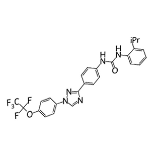 CC(C)c1ccccc1NC(=O)Nc1ccc(-c2ncn(-c3ccc(OC(F)(F)C(F)(F)F)cc3)n2)cc1